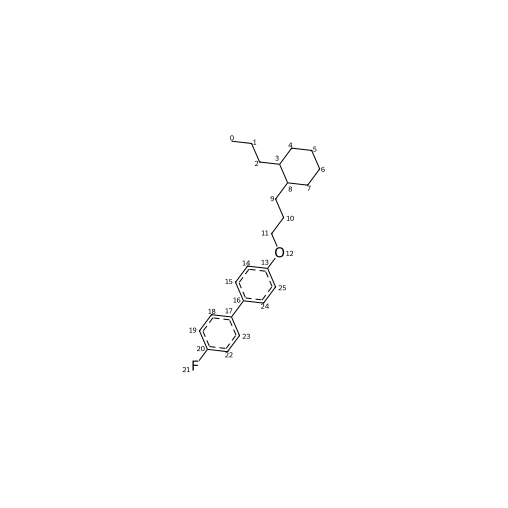 CCCC1CCCCC1CCCOc1ccc(-c2ccc(F)cc2)cc1